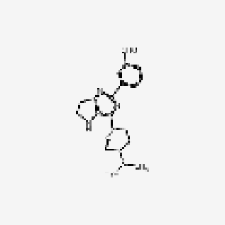 CN(C)C1CCN(c2nc(-c3cccc(C=O)c3)nc3c2NCC3)CC1